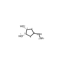 CC[CH]NC1C[C@@H](O)[C@@H](O)C1